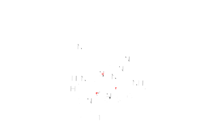 CS(=O)(=O)c1c([C@@H]2C[C@H]3CC[C@@H](C2)N3c2ncncc2N)nc2c(-c3ccc(-c4ccccc4)nc3)cnn2c1N